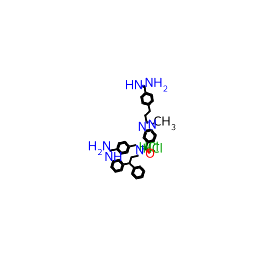 Cl.Cl.Cn1c(CCc2ccc(C(=N)N)cc2)nc2cc(C(=O)N(CCC(c3ccccc3)c3ccccc3)Cc3ccc(C(=N)N)cc3)ccc21